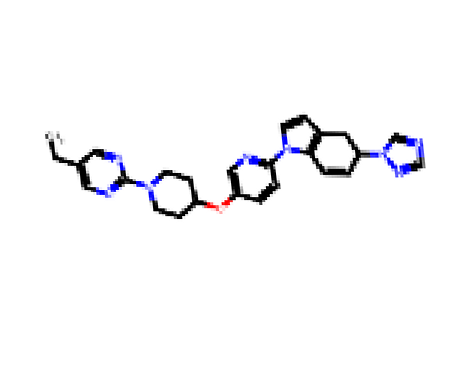 CCc1cnc(N2CCC(Oc3ccc(-n4ccc5c4C=CC(n4cncn4)C5)nc3)CC2)nc1